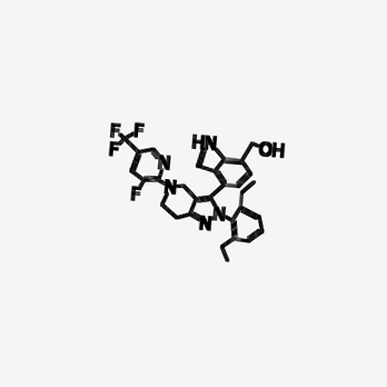 CCc1cccc(CC)c1-n1nc2c(c1-c1ccc(CO)c3[nH]ccc13)CN(c1ncc(C(F)(F)F)cc1F)CC2